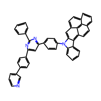 c1ccc(-c2nc(-c3ccc(-c4cccnc4)cc3)cc(-c3ccc(-n4c5ccccc5c5c6ccc7cccc8ccc(cc54)c6c87)cc3)n2)cc1